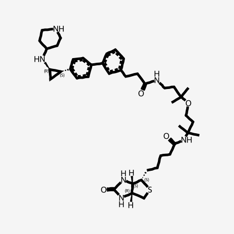 CC(C)(CCOC(C)(C)CCNC(=O)CCc1cccc(-c2ccc([C@@H]3C[C@H]3NC3CCNCC3)cc2)c1)NC(=O)CCCC[C@@H]1SC[C@@H]2NC(=O)N[C@@H]21